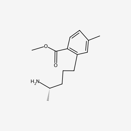 COC(=O)c1ccc(C)cc1CCC[C@H](C)N